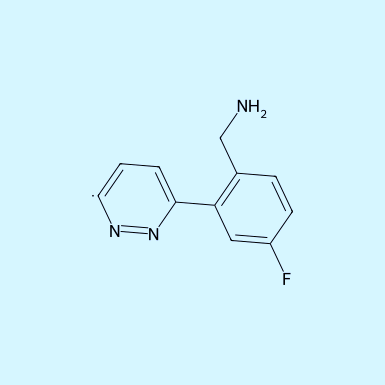 NCc1ccc(F)cc1-c1cc[c]nn1